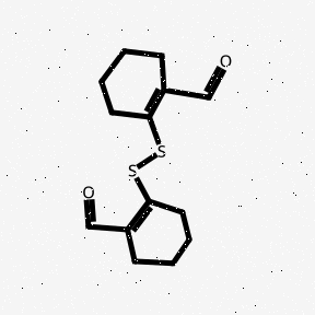 O=CC1=C(SSC2=C(C=O)CCCC2)CCCC1